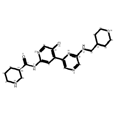 O=C(Nc1cc(-c2cncc(NCC3CCOCC3)n2)c(Cl)cn1)[C@@H]1CCCNC1